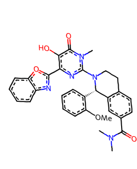 COc1ccccc1[C@H]1c2cc(C(=O)N(C)C)ccc2CCN1c1nc(-c2nc3ccccc3o2)c(O)c(=O)n1C